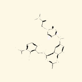 C/C=C(\C=C/N(C=O)CC(=O)N(C)C)N(C)c1ccc2nc(C)nc(NCc3cccc(C(F)F)c3F)c2c1